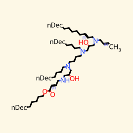 C/C=C/CN(C/C=C/CCCCCCCCCCCCCCC)CC(O)CN(CCCCCCCCCCCCCC)CCCCN(CCCCCCCCCCCCCC)CC(O)CNC/C=C/C(=O)OCCCCCCCCCCCCCCC